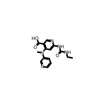 CCNC(=O)Nc1cc(N(C)c2cccnc2)c(C(=O)O)cn1